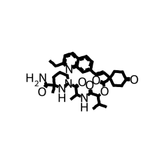 CCc1ccc2ccc(/C=C/C3(C(=O)OC(C(=O)NC(C)C(=O)N4CCCC(C)(C(N)=O)N4)C(C)C)CCC(=O)CC3)cc2n1